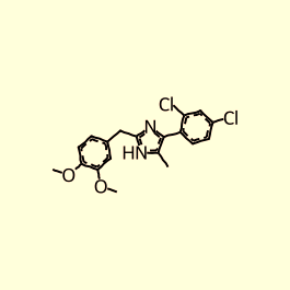 COc1ccc(Cc2nc(-c3ccc(Cl)cc3Cl)c(C)[nH]2)cc1OC